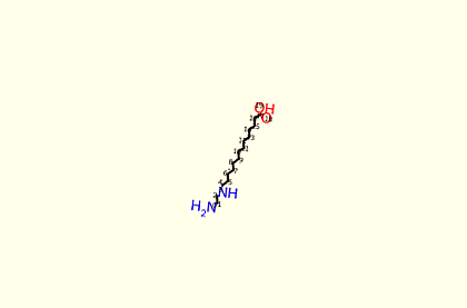 NCCNCCC[CH]CCCCCCCCCC(=O)O